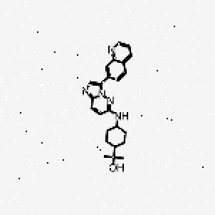 CC(C)(O)C1CCC(Nc2ccc3ncc(-c4ccc5cccnc5c4)n3n2)CC1